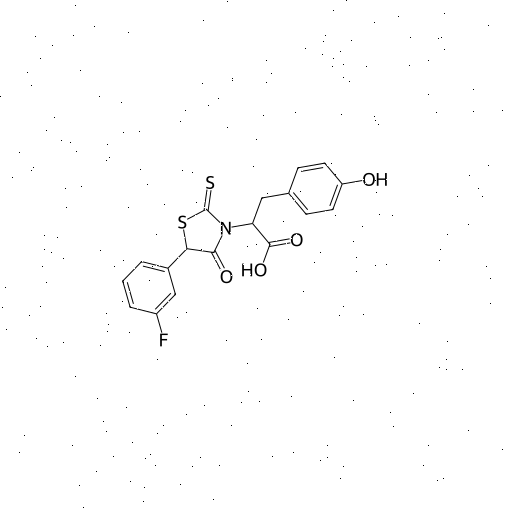 O=C(O)C(Cc1ccc(O)cc1)N1C(=O)C(c2cccc(F)c2)SC1=S